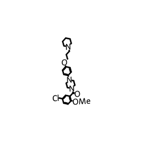 COc1ccc(Cl)cc1C(=O)N1CCN(c2ccc(OCCCN3CCCCC3)cc2)CC1